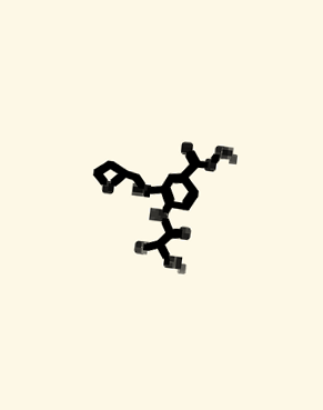 COC(=O)c1ccc(NC(=O)C(C)Cl)c(NCC2CCO2)c1